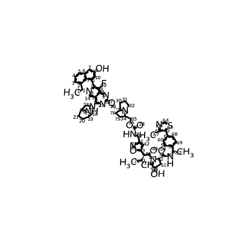 CCc1cccc2cc(O)cc(-c3ncc4c(N5CC6CCC(C5)N6)nc(OC[C@]56CCCN5C(COC(=O)NCc5cc([C@@H](C(=O)N7C[C@H](O)C[C@H]7C(=O)N[C@@H](C)c7ccc(-c8scnc8C)cc7)C(C)C)on5)CC6)nc4c3F)c12